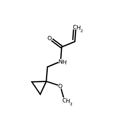 C=CC(=O)NCC1(OC)CC1